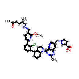 COc1nc(-c2cccc(-c3cccc4c3CCN4c3nc(C)nc4cc(CN5CC[C@@H](C(=O)O)C5)cnc34)c2Cl)ccc1CNC[C@@H](C)CCC(C)=O